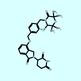 BC1N(Cc2ccc(COc3cccc4c3CN(C3CCC(=O)NC3=O)C4=O)cc2)C(=O)C(B)(B)OC1(B)B